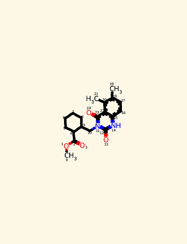 COC(=O)C1CCCCC1Cn1c(=O)[nH]c2ccc(C)c(C)c2c1=O